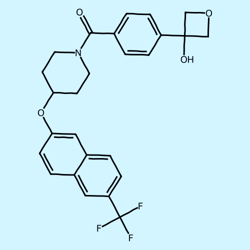 O=C(c1ccc(C2(O)COC2)cc1)N1CCC(Oc2ccc3cc(C(F)(F)F)ccc3c2)CC1